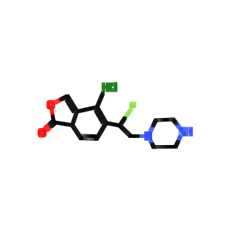 CC1=C(C(F)CN2CCNCC2)C=CC2C(=O)OC=C12.Cl